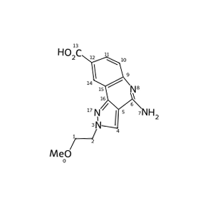 COCCn1cc2c(N)nc3ccc(C(=O)O)cc3c2n1